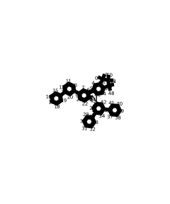 CC1(C)c2cc3c4cc(-c5cccc(-c6ccccc6)c5)ccc4n(-c4cc(-c5ccccc5)cc(-c5ccccc5)c4)c3cc2C(C)(C)C1(C)C